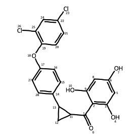 O=C(c1c(O)cc(O)cc1O)C1CC1c1ccc(Oc2ccc(Cl)cc2Cl)cc1